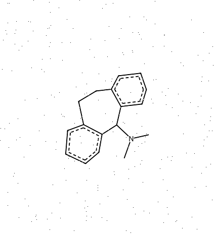 CN(C)C1c2ccccc2CCc2ccccc21